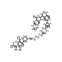 O=C1CCC(N2C(=O)c3ccc(C#CCCCCCN4CCC(n5cc(-c6cnc7cccc(-c8cc(F)c(CN9CCOCC9)c(F)c8)c7n6)cn5)CC4)cc3C2=O)C(O)N1